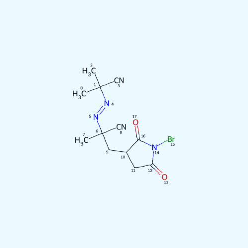 CC(C)(C#N)N=NC(C)(C#N)CC1CC(=O)N(Br)C1=O